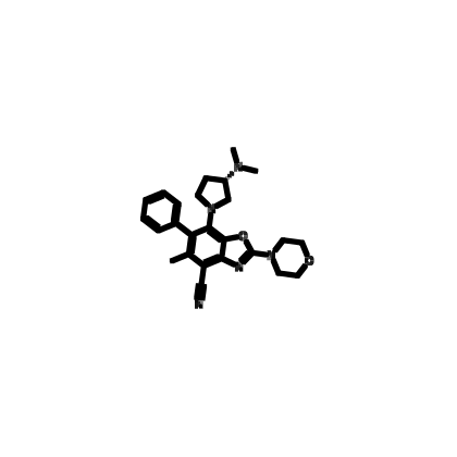 Cc1c(-c2ccccc2)c(N2CC[C@H](N(C)C)C2)c2oc(N3CCOCC3)nc2c1C#N